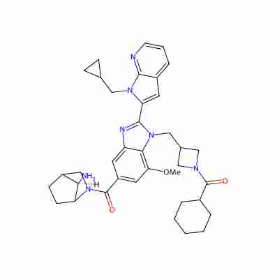 COc1cc(C(=O)N2CC3CCC2[C@@H]3N)cc2nc(-c3cc4cccnc4n3CC3CC3)n(CC3CN(C(=O)C4CCCCC4)C3)c12